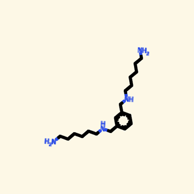 NCCCCCCNCc1cccc(CNCCCCCCN)c1